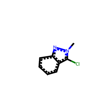 Cn1nc2cc[c]cc2c1Cl